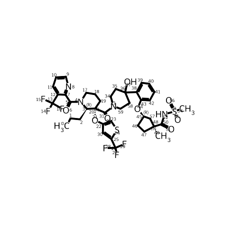 CCC[C@H]1N(C(=O)c2ncccc2C(F)(F)F)CCC[C@@]1(Oc1csc(C(F)(F)F)c1)C(=O)N1CCC(O)(c2ccccc2O[C@@H]2CC[C@](C)(C(=O)NS(C)(=O)=O)C2)CC1